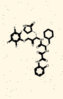 O=C(Nc1ccccc1Cl)C(=O)N[C@@H](CC1CCCCC1)C(=O)N[C@@H](C[C@@H]1CCNC1=O)C(=O)COc1c(F)c(F)cc(F)c1F